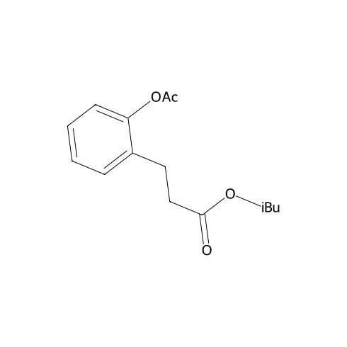 CCC(C)OC(=O)CCc1ccccc1OC(C)=O